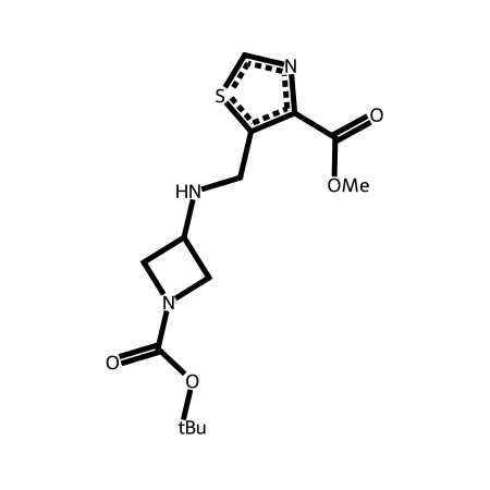 COC(=O)c1ncsc1CNC1CN(C(=O)OC(C)(C)C)C1